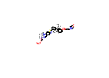 Cc1c(OCCCN2CCOCC2)cccc1-c1cccc(-c2nc3cc(CNCC(=O)O)c(N(C)C)cc3s2)c1C